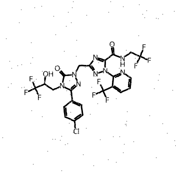 O=C(NCC(F)(F)F)c1nc(Cn2nc(-c3ccc(Cl)cc3)n(C[C@H](O)C(F)(F)F)c2=O)nn1-c1ncccc1C(F)(F)F